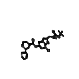 CC(C)(C)OC(=O)NCc1cc2cc(OC(=O)N3CCOC(c4ccccc4)C3)cc(Cl)c2o1